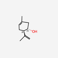 C=C(C)[C@H]1CC=C(C)C[C@@H]1O